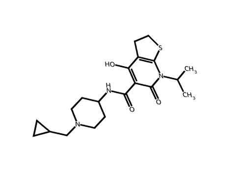 CC(C)n1c2c(c(O)c(C(=O)NC3CCN(CC4CC4)CC3)c1=O)CCS2